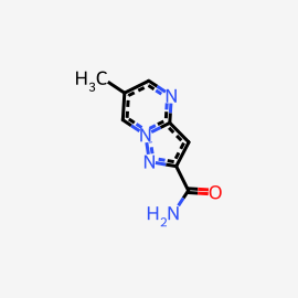 Cc1cnc2cc(C(N)=O)nn2c1